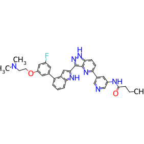 CCCC(=O)Nc1cncc(-c2ccc3[nH]nc(-c4cc5c(-c6cc(F)cc(OCCN(C)C)c6)cccc5[nH]4)c3n2)c1